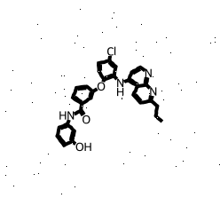 CCCc1ccc2c(Nc3cc(Cl)ccc3Oc3cccc(C(=O)Nc4cccc(O)c4)c3)ccnc2n1